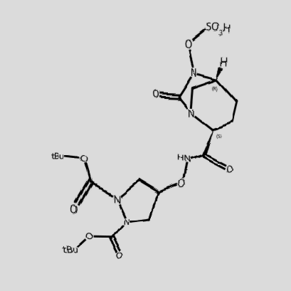 CC(C)(C)OC(=O)N1CC(ONC(=O)[C@@H]2CC[C@@H]3CN2C(=O)N3OS(=O)(=O)O)CN1C(=O)OC(C)(C)C